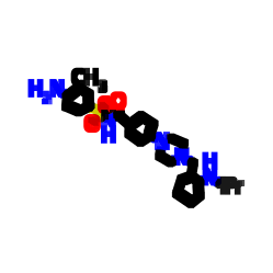 Cc1cc(S(=O)(=O)NC(=O)c2ccc(N3CCN(Cc4ccccc4NC(C)C)CC3)cc2)ccc1N